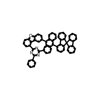 c1ccc(-c2nc(-c3ccccc3)nc(-c3cccc4oc5ccc(-c6ccc(-c7cccc8c7-c7ccccc7C87c8ccccc8-c8ccccc87)c7ccccc67)cc5c34)n2)cc1